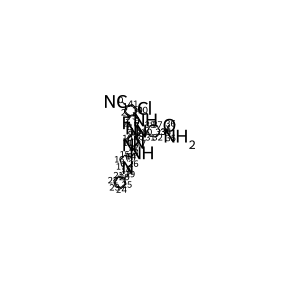 N#Cc1cc(F)c(Nc2nc3cnc(N[C@@H]4CCCN(Cc5ccccc5)C4)nc3n2[C@H]2CC[C@@H](C(N)=O)CC2)c(Cl)c1